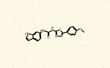 COc1ccc(-c2nnc(NC(=O)Nc3ccc4cc[nH]c4c3)s2)cc1